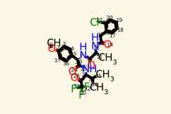 COc1ccc([C@H](NC(=O)[C@H](C)NC(=O)Cc2ccccc2Cl)C(=O)N[C@H](C(=O)C(F)(F)F)C(C)C)cc1